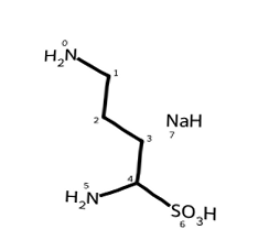 NCCCC(N)S(=O)(=O)O.[NaH]